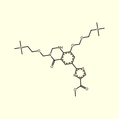 COC(=O)c1csc(-c2cc(OCOCC[Si](C)(C)C)c3c(c2)C(=O)N(COCC[Si](C)(C)C)CN3)n1